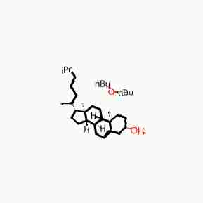 CC(C)CCCC(C)[C@H]1CC[C@H]2[C@@H]3CC=C4C[C@@H](O)CC[C@]4(C)[C@H]3CC[C@]12C.CCCCOCCCC